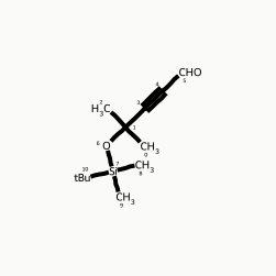 CC(C)(C#CC=O)O[Si](C)(C)C(C)(C)C